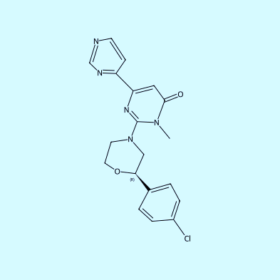 Cn1c(N2CCO[C@H](c3ccc(Cl)cc3)C2)nc(-c2ccncn2)cc1=O